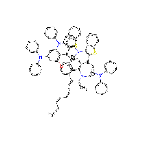 C=C\C=C/C=C\C=C(/C(=C)N1C2=C(N(c3ccccc3)c3ccccc3)C(=C2)B(c2sc3ccccc3c2N(CC)c2ccccc2)c2cc3c(cc21)Oc1cc(N(c2ccccc2)c2ccccc2)cc2c1B3c1sc3ccccc3c1N2c1ccccc1)c1ccccc1